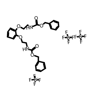 F[B-](F)(F)F.F[B-](F)(F)F.F[B-](F)(F)F.O=C(NCCOc1ccccc1OCCNC(=O)OCc1ccccc1)OCc1ccccc1